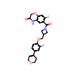 O=C1COc2cc(F)c(C(=O)N3CC(COc4ccc(C5=CCOCC5)cc4F)C3)cc2N1